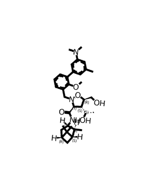 COc1c(CN2O[C@@H](CO)[C@H]([C@H](C)O)[C@H]2C(=O)N[C@H]2C[C@H]3C[C@@H]([C@@H]2C)C3(C)C)cccc1-c1cc(C)cc(N(C)C)c1